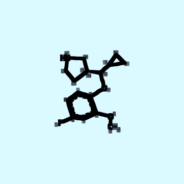 COc1cc(F)ccc1OC(C1CC1)[C@H]1CCNC1